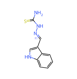 NC(=S)N/N=C/c1c[nH]c2ccccc12